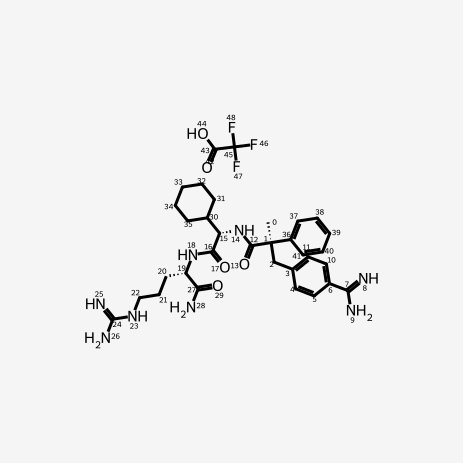 C[C@](Cc1ccc(C(=N)N)cc1)(C(=O)N[C@H](C(=O)N[C@@H](CCCNC(=N)N)C(N)=O)C1CCCCC1)c1ccccc1.O=C(O)C(F)(F)F